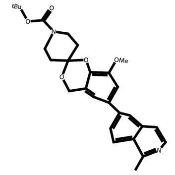 COc1cc(-c2ccc3c(C)nccc3c2)cc2c1OC1(CCN(C(=O)OC(C)(C)C)CC1)OC2